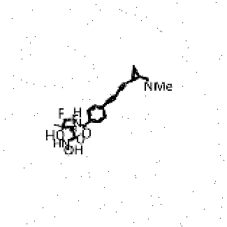 CNCC1CC1C#CC#Cc1ccc(C(=O)N[C@H](C(=O)NO)[C@](C)(O)C(F)F)cc1